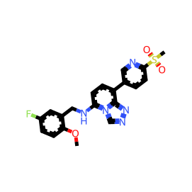 COc1ccc(F)cc1CNc1ccc(-c2ccc(S(C)(=O)=O)nc2)c2nncn12